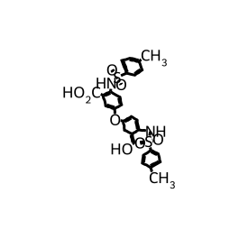 Cc1ccc(S(=O)(=O)NC2=CC=C(Oc3ccc(NS(=O)(=O)c4ccc(C)cc4)c(C(=O)O)c3)CC2=CO)cc1